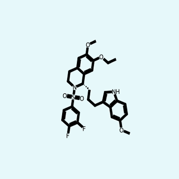 CCOc1cc2c(cc1OC)CCN(S(=O)(=O)c1ccc(F)c(F)c1)[C@H]2CCCc1c[nH]c2ccc(OC)cc12